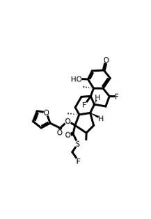 CC1C[C@H]2[C@@H]3CC(F)C4=CC(=O)C=C(O)[C@]4(C)C3(F)CC[C@]2(C)C1(OC(=O)c1ccco1)C(=O)SCF